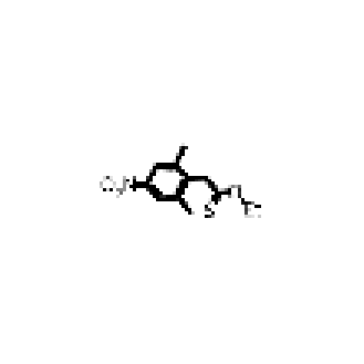 CCOC(=S)Cc1c(C)cc([N+](=O)[O-])cc1C